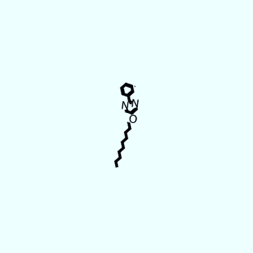 CCCCCCCCCCOc1cnc(-c2c[c]ccc2)nc1